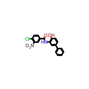 O=C(Nc1cc(-c2ccccc2)ccc1O)c1ccc(Cl)c([N+](=O)[O-])c1